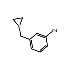 N#Cc1cccc(CN2CC2)c1